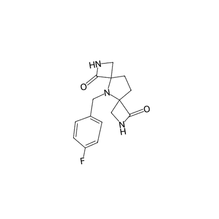 O=C1NCC12CCC1(CNC1=O)N2Cc1ccc(F)cc1